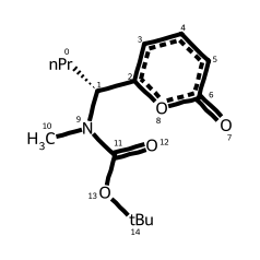 CCC[C@H](c1cccc(=O)o1)N(C)C(=O)OC(C)(C)C